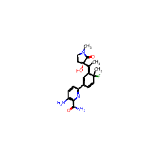 C/C(=C1/C=C(c2ccc(N)c(C(N)=O)n2)C=CC1(C)F)[C@]1(O)CCN(C)C1=O